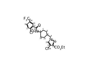 CCOC(=O)c1nn(CC2CCC(NC(=O)c3cc(C(F)(F)F)ccc3Cl)CC2)cc1Cl